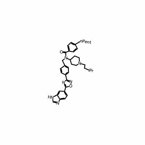 CCCCCc1ccc(C(=O)N(Cc2ccc(-c3noc(-c4ccc5nc[nH]c5c4)n3)cc2)C2CCN(CCC(C)C)CC2)cc1